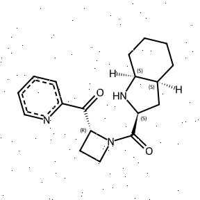 O=C(c1ccccn1)[C@H]1CCN1C(=O)[C@@H]1C[C@@H]2CCCC[C@@H]2N1